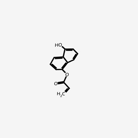 C=CC(=O)Oc1cccc2c(O)cccc12